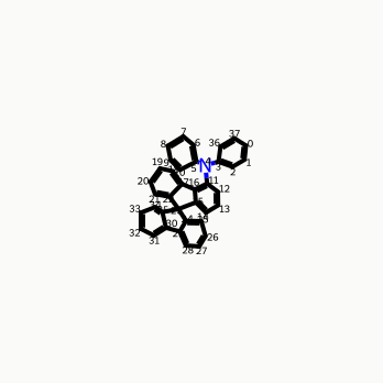 c1ccc(N(c2ccccc2)c2cccc3c2-c2ccccc2C32c3ccccc3-c3ccccc32)cc1